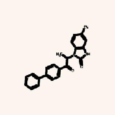 CC(C(=O)c1ccc(-c2ccccc2)cc1)n1c(=O)[nH]c2cc(C#N)ccc21